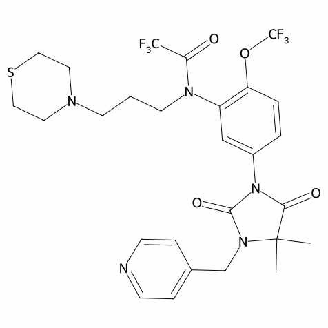 CC1(C)C(=O)N(c2ccc(OC(F)(F)F)c(N(CCCN3CCSCC3)C(=O)C(F)(F)F)c2)C(=O)N1Cc1ccncc1